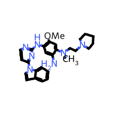 COc1cc(N(C)CCN2CCCCC2)c(N)cc1Nc1nccc(-n2ccc3ccccc32)n1